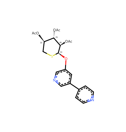 CC(=O)O[C@@H]1[C@@H](OC(C)=O)[C@@H](Oc2cncc(-c3ccncc3)c2)SC[C@H]1OC(C)=O